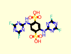 O=S(=O)(O)c1cc(Nc2nc(F)nc(F)n2)c(S(=O)(=O)O)cc1Nc1nc(F)nc(F)n1